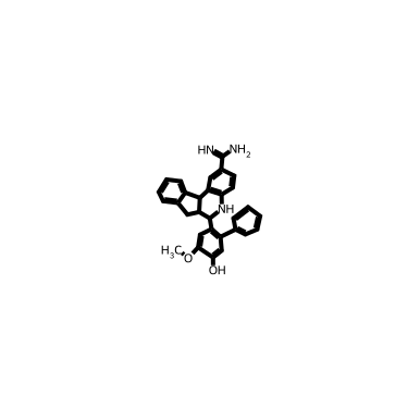 COc1cc(C2Nc3ccc(C(=N)N)cc3C3c4ccccc4CC23)c(-c2ccccc2)cc1O